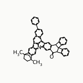 CC12CCC(C)(CC1)c1cc3c(cc12)c1cc2cc(-c4ccccc4)ccc2c2c4cc5c(cc4n3c12)C(=O)C1c2ccccc2C12c1ccccc1C52